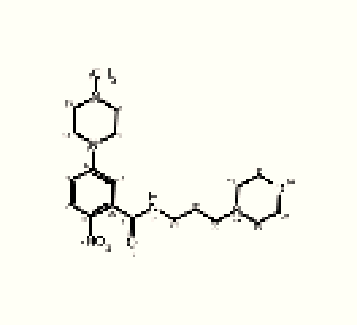 CN1CCN(c2ccc([N+](=O)[O-])c(C(=O)NCCCN3CCOCC3)c2)CC1